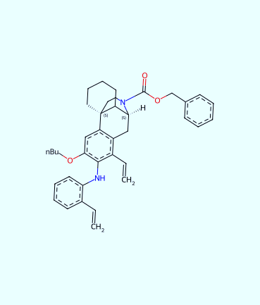 C=Cc1ccccc1Nc1c(OCCCC)cc2c(c1C=C)C[C@H]1C3CCCC[C@@]23CCN1C(=O)OCc1ccccc1